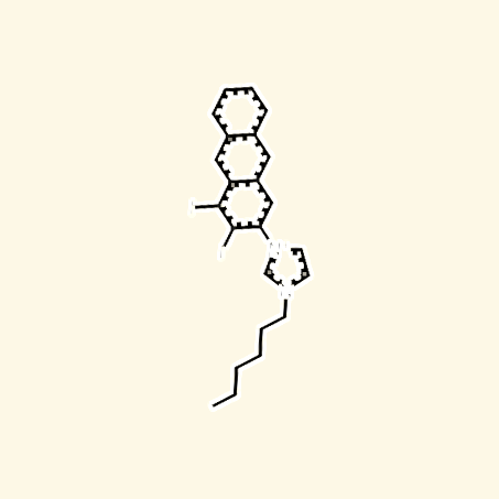 CCCCCCn1cc[n+](-c2cc3cc4ccccc4cc3c(I)c2I)c1